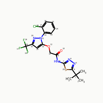 CC(C)(C)c1nnc(NC(=O)COc2cc(C(F)(F)F)nn2-c2ccccc2Cl)s1